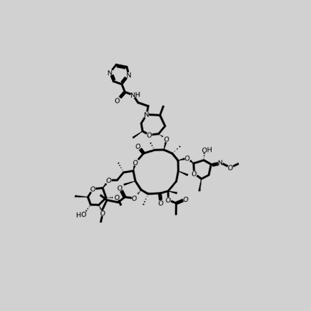 CON=C1C[C@@H](C)O[C@@H](O[C@@H]2[C@@H](C)[C@H](O[C@H]3CC(C)N(CCNC(=O)c4cnccn4)C[C@H](C)O3)[C@@H](C)C(=O)O[C@H]([C@@H](C)CO[C@@H]3O[C@H](C)[C@@H](O)[C@@H](OC)[C@H]3OC)[C@H](C)[C@@H](OC(=O)CC(C)C)[C@@H](C)C(=O)[C@@](C)(OC(C)=O)C[C@@H]2C)[C@@H]1O